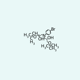 CC(C)(C)OCC(O)CN(CC(O)COC(C)(C)C)c1ccc(Br)cc1